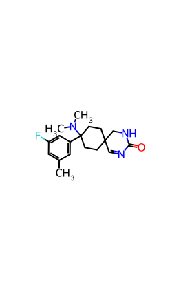 Cc1cc(F)cc(C2(N(C)C)CCC3(C=NC(=O)NC3)CC2)c1